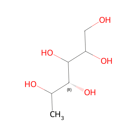 CC(O)[C@@H](O)C(O)C(O)CO